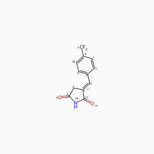 O=C1C/C(=C\c2ccc(C(F)(F)F)cc2)C(=O)N1